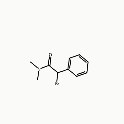 CN(C)C(=O)C(Br)c1ccccc1